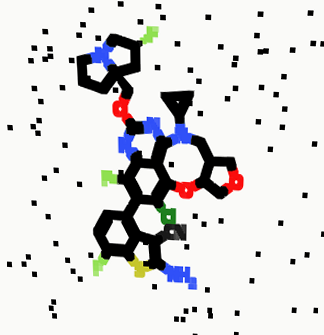 N#Cc1c(N)sc2c(F)ccc(-c3c(Cl)c4c5c(nc(OC[C@@]67CCCN6C[C@H](F)C7)nc5c3F)N(C3CC3)CC3COCC3O4)c12